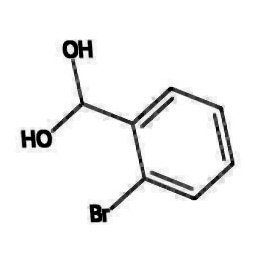 OC(O)c1ccccc1Br